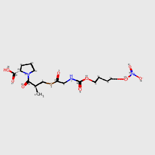 C[C@H](CSC(=O)CNC(=O)OCCCCO[N+](=O)[O-])C(=O)N1CCC[C@H]1C(=O)O